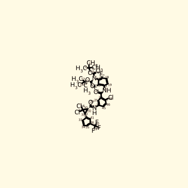 CC(C)(C)OC(=O)N(C(=O)OC(C)(C)C)c1c(F)ccc(NC(=O)c2cc(NC(=O)[C@@H]3[C@@H](c4cccc(C(F)(F)F)c4)C3(Cl)Cl)ccc2Cl)c1F